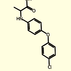 CC(Nc1ccc(Oc2ccc(Cl)cc2)cc1)C(=O)O